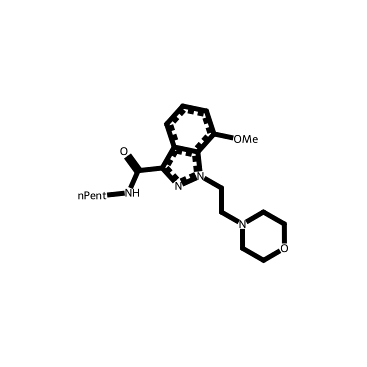 CCCCCNC(=O)c1nn(CCN2CCOCC2)c2c(OC)cccc12